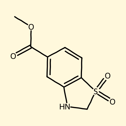 COC(=O)c1ccc2c(c1)NCS2(=O)=O